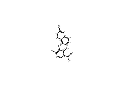 O=C(O)c1ccc(F)c(F)c1Nc1cnc2cc(Cl)ccc2c1